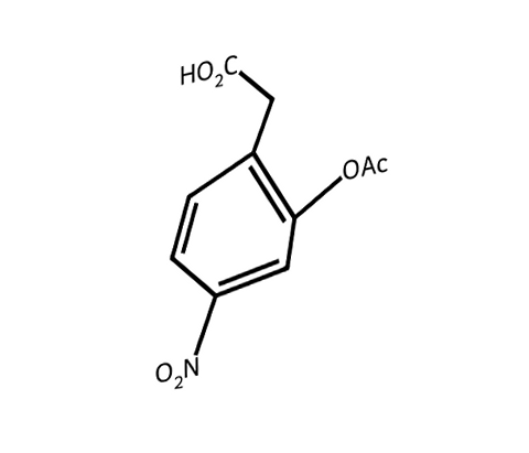 CC(=O)Oc1cc([N+](=O)[O-])ccc1CC(=O)O